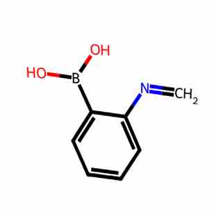 C=Nc1ccccc1B(O)O